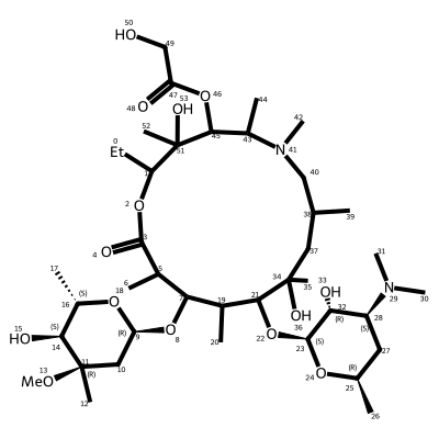 CCC1OC(=O)C(C)C(O[C@H]2C[C@@](C)(OC)[C@@H](O)[C@H](C)O2)C(C)C(O[C@@H]2O[C@H](C)C[C@H](N(C)C)[C@H]2O)C(C)(O)CC(C)CN(C)C(C)C(OC(=O)CO)C1(C)O